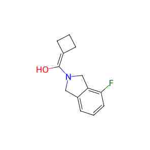 OC(=C1CCC1)N1Cc2cccc(F)c2C1